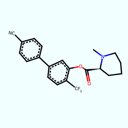 CN1CCCC[C@H]1C(=O)Oc1cc(-c2ccc(C#N)cc2)ccc1C(F)(F)F